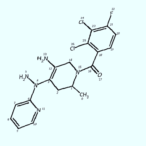 CC1CC(N(N)c2ccccn2)=C(N)CN1C(=O)c1ccc(F)c(Cl)c1Cl